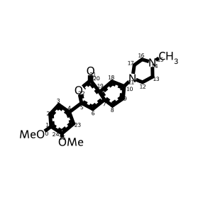 COc1ccc(-c2cc3ccc(N4CCN(C)CC4)cc3c(=O)o2)cc1OC